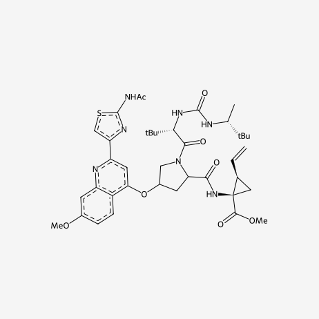 C=C[C@H]1C[C@]1(NC(=O)C1CC(Oc2cc(-c3csc(NC(C)=O)n3)nc3cc(OC)ccc23)CN1C(=O)[C@@H](NC(=O)N[C@H](C)C(C)(C)C)C(C)(C)C)C(=O)OC